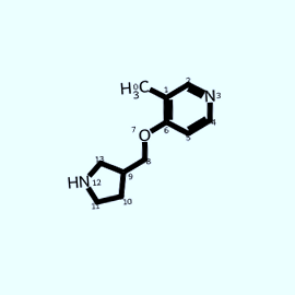 Cc1cnccc1OCC1CCNC1